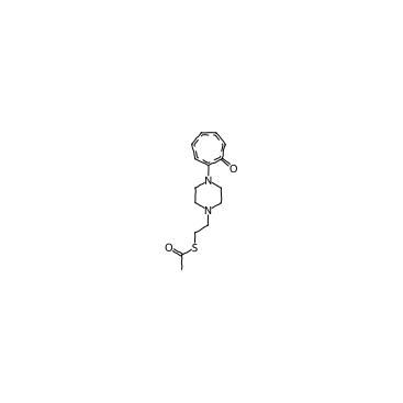 CC(=O)SCCN1CCN(c2cccccc2=O)CC1